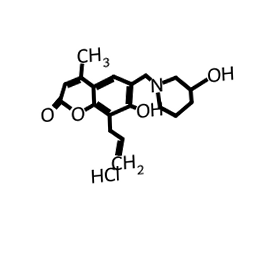 C=CCc1c(O)c(CN2CCCC(O)C2)cc2c(C)cc(=O)oc12.Cl